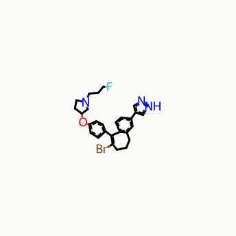 FCCCN1CC[C@H](Oc2ccc(C3=C(Br)CCCc4cc(-c5cn[nH]c5)ccc43)cc2)C1